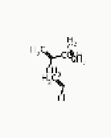 C=C.C=C(C)C(=O)O.C=CCl